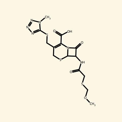 COCSCC(=O)NC1C(=O)N2C(C(=O)O)=C(CSc3nnnn3C)CSC12